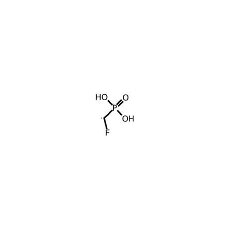 O=P(O)(O)[CH]F